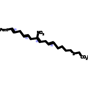 CCCCC/C=C/C/C=C/C/C(=C/C/C=C/CCCCSCC(=O)O)[N+](=O)[O-]